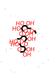 CCOCC1OC(OC2C(CO)OC(OC3C(CO)OCC(O)C3O)C(O)C2O)C(O)C(O)C1O